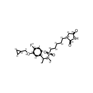 CC(c1ccc(F)c(OCC2CC2)c1)N(C)S(=O)(=O)CCCCCN1CC(=O)NC1=O